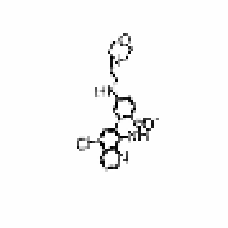 [O-][S+]1Nc2c(cc(Cl)c3cccnc23)-c2cc(NCCN3CCOCC3)ccc21